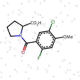 COc1cc(F)c(C(=O)N2CCCC2C(=O)O)cc1Cl